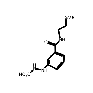 CSCCNC(=O)c1cccc(NNC(=O)O)c1